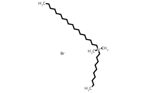 CCCCCCCCCCCCCCCCCC[N+](C)(C)CCCCCCCCCC.[Br-]